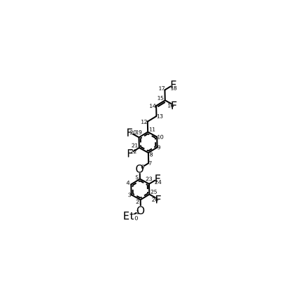 CCOc1ccc(OCc2ccc(CCC=C(F)CF)c(F)c2F)c(F)c1F